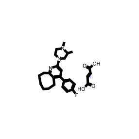 CC1CN(c2cc(-c3ccc(F)cc3)c3c(n2)CCCCCC3)CCN1C.O=C(O)/C=C/C(=O)O